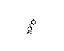 O=S1(=O)CCN(Cc2cc[c]c(F)c2)CC1